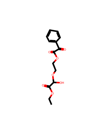 CCOC(=O)C(O)OCCOC(=O)C(=O)c1ccccc1